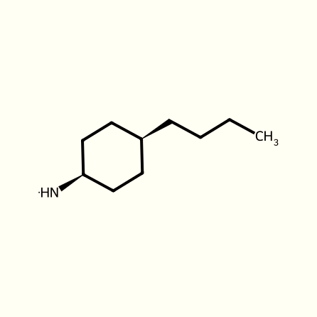 CCCC[C@H]1CC[C@@H]([NH])CC1